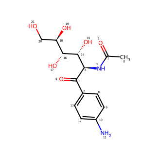 CC(=O)N[C@@H](C(=O)c1ccc(N)cc1)[C@@H](O)[C@H](O)[C@H](O)CO